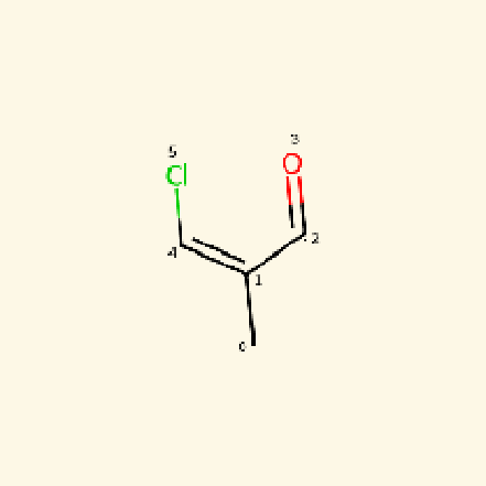 CC([C]=O)=CCl